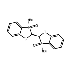 CC(C)(C)[P@@]1(=O)c2ccccc2OC1[C@H]1Oc2ccccc2[P@]1(=O)C(C)(C)C